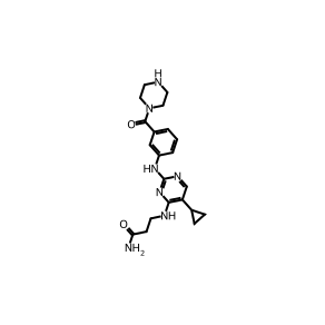 NC(=O)CCNc1nc(Nc2cccc(C(=O)N3CCNCC3)c2)ncc1C1CC1